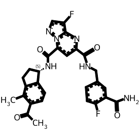 CC(=O)c1ccc2c(c1C)CC[C@@H]2NC(=O)c1cc(C(=O)NCc2ccc(F)c(C(N)=O)c2)nc2c(F)cnn12